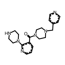 O=C(c1cccnc1N1CCNCC1)N1CCN(Cc2ccncc2)CC1